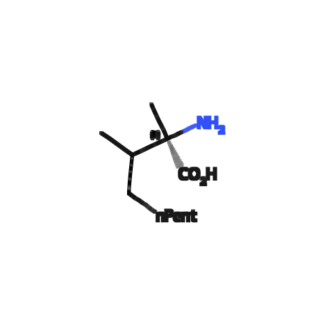 CCCCCCC(C)[C@@](C)(N)C(=O)O